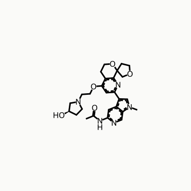 CC(=O)Nc1cc2c(-c3cc(OCCN4CC[C@@H](O)C4)c4c(n3)C3(CCOC3)OCC4)cn(C)c2cn1